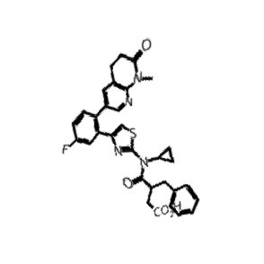 CN1C(=O)CCc2cc(-c3ccc(F)cc3-c3csc(N(C(=O)C(CC(=O)O)Cc4ccccc4)C4CC4)n3)cnc21